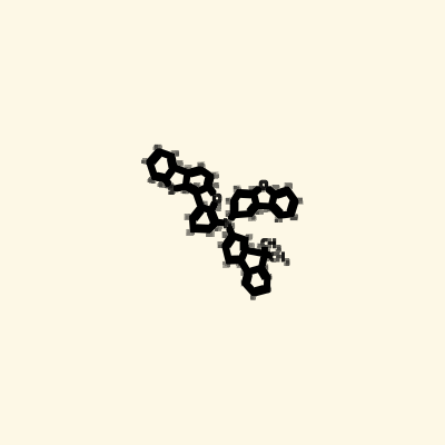 CC1(C)c2ccccc2-c2ccc(N(c3ccc4oc5ccccc5c4c3)c3cccc4c3oc3ccc5c6ccccc6sc5c34)cc21